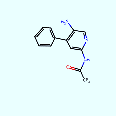 Nc1cnc(NC(=O)C(F)(F)F)cc1-c1ccccc1